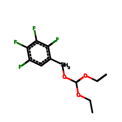 CCOC(OCC)O[SiH2]c1cc(F)c(F)c(F)c1F